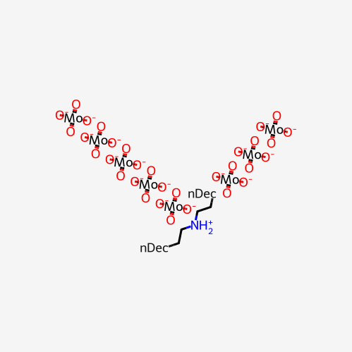 CCCCCCCCCCCC[NH2+]CCCCCCCCCCCC.[O]=[Mo](=[O])([O-])[O-].[O]=[Mo](=[O])([O-])[O-].[O]=[Mo](=[O])([O-])[O-].[O]=[Mo](=[O])([O-])[O-].[O]=[Mo](=[O])([O-])[O-].[O]=[Mo](=[O])([O-])[O-].[O]=[Mo](=[O])([O-])[O-].[O]=[Mo](=[O])([O-])[O-]